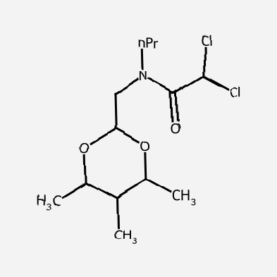 CCCN(CC1OC(C)C(C)C(C)O1)C(=O)C(Cl)Cl